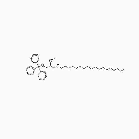 CCCCCCCCCCCCCCCCCCOCC(COC(c1ccccc1)(c1ccccc1)c1ccccc1)OC